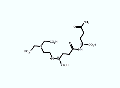 NC(=O)CC[C@H](NC(=O)CC[C@H](NCCN(CC(=O)O)CC(=O)O)C(=O)O)C(=O)O